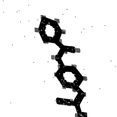 N#CC(C=O)=Cc1ccc(OC(=O)c2ccccc2)cc1